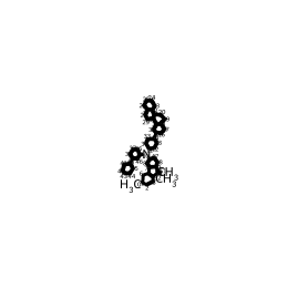 CC1C=CC2=C(C1)c1cc(N(c3ccc(-c4ccc5ccc6c7ccccc7ccc6c5c4)cc3)c3cccc(-c4ccccc4)c3)ccc1C2(C)C